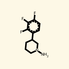 NN1CCCC(c2ccc(F)c(F)c2F)C1